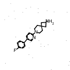 NC1CC2(CCN(c3ccc(-c4ccc(F)cc4)cn3)CC2)C1